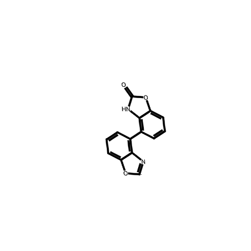 O=c1[nH]c2c(-c3cccc4o[c]nc34)cccc2o1